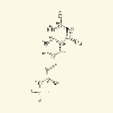 CC(C)(C)OC(=O)C=Cc1cnc2[nH]c(=O)[nH]c(=O)c2c1